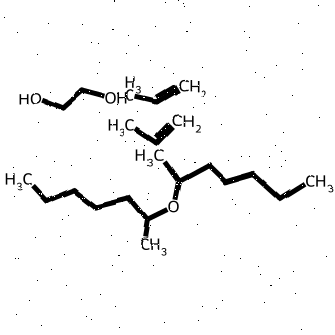 C=CC.C=CC.CCCCCC(C)OC(C)CCCCC.OCCO